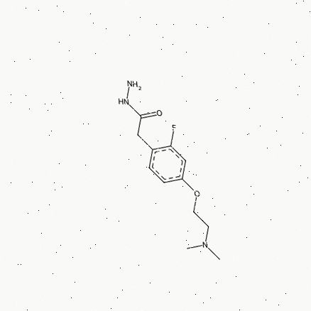 CN(C)CCOc1ccc(CC(=O)NN)c(F)c1